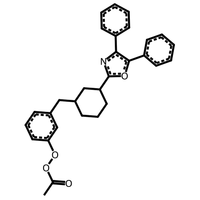 CC(=O)OOc1cccc(CC2CCCC(c3nc(-c4ccccc4)c(-c4ccccc4)o3)C2)c1